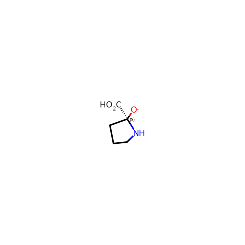 [O][C@]1(C(=O)O)CCCN1